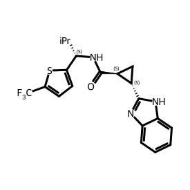 CC(C)[C@H](NC(=O)[C@H]1C[C@@H]1c1nc2ccccc2[nH]1)c1ccc(C(F)(F)F)s1